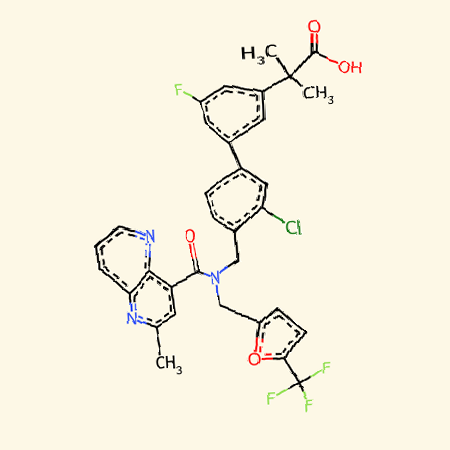 Cc1cc(C(=O)N(Cc2ccc(C(F)(F)F)o2)Cc2ccc(-c3cc(F)cc(C(C)(C)C(=O)O)c3)cc2Cl)c2ncccc2n1